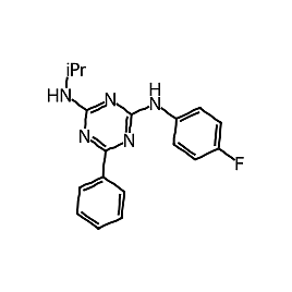 CC(C)Nc1nc(Nc2ccc(F)cc2)nc(-c2ccccc2)n1